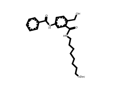 CCCCCCCCCCCCCCCCCCNC(=O)c1cc(NC(=O)c2ccccc2)ccc1CO